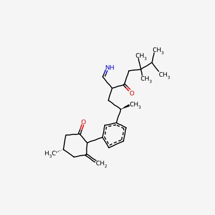 C=C1C[C@H](C)CC(=O)C1c1cccc([C@H](C)CC(C=N)C(=O)CC(C)(C)C(C)C)c1